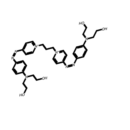 OCCN(CCO)c1ccc(/N=N\c2cc[n+](CCC[n+]3ccc(/N=N\c4ccc(N(CCO)CCO)cc4)cc3)cc2)cc1